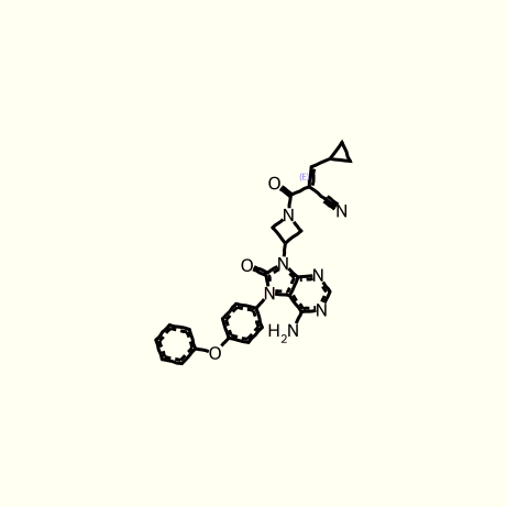 N#C/C(=C\C1CC1)C(=O)N1CC(n2c(=O)n(-c3ccc(Oc4ccccc4)cc3)c3c(N)ncnc32)C1